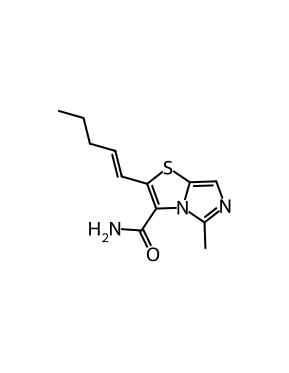 CCCC=Cc1sc2cnc(C)n2c1C(N)=O